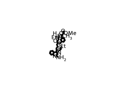 CCOCc1nc2c(N)nc3ccccc3c2n1CCCN(Cc1cccc(OC(C)(C)C(=O)OC)c1)C(=O)CN(CC)CC